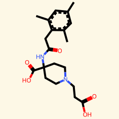 Cc1cc(C)c(CC(=O)NC2(C(=O)O)CCN(CCC(=O)O)CC2)c(C)c1